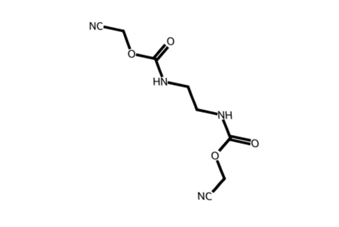 N#CCOC(=O)NCCNC(=O)OCC#N